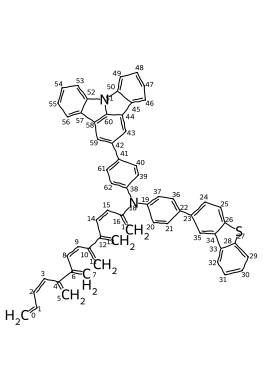 C=C/C=C\C(=C)C(=C)/C=C\C(=C)C(=C)/C=C\C(=C)N(c1ccc(-c2ccc3sc4ccccc4c3c2)cc1)c1ccc(-c2cc3c4ccccc4n4c5ccccc5c(c2)c34)cc1